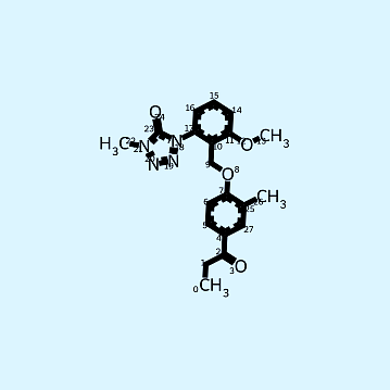 CCC(=O)c1ccc(OCc2c(OC)cccc2-n2nnn(C)c2=O)c(C)c1